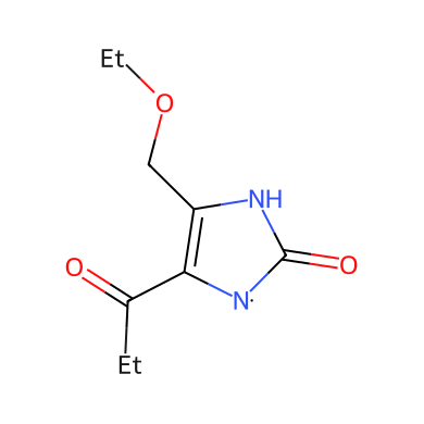 CCOCC1=C(C(=O)CC)[N]C(=O)N1